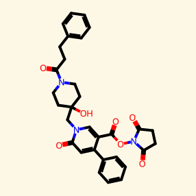 O=C(ON1C(=O)CCC1=O)c1cn(CC2(O)CCN(C(=O)CCc3ccccc3)CC2)c(=O)cc1-c1ccccc1